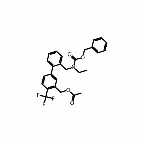 CCN(Cc1ccccc1-c1ccc(C(F)(F)F)c(COC(C)=O)c1)C(=O)OCc1ccccc1